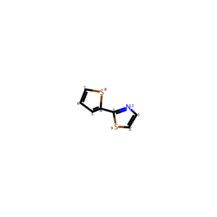 [c]1cnc(-c2cccs2)s1